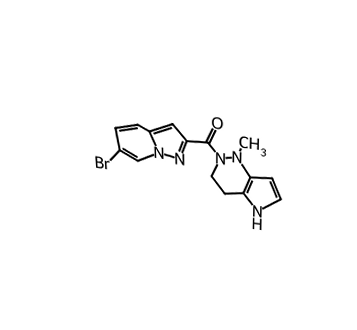 CN1c2cc[nH]c2CCN1C(=O)c1cc2ccc(Br)cn2n1